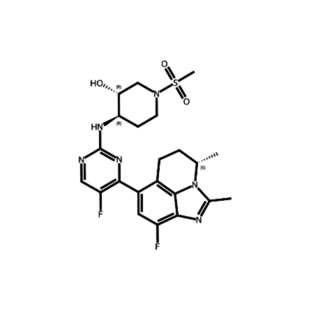 Cc1nc2c(F)cc(-c3nc(N[C@@H]4CCN(S(C)(=O)=O)C[C@H]4O)ncc3F)c3c2n1[C@@H](C)CC3